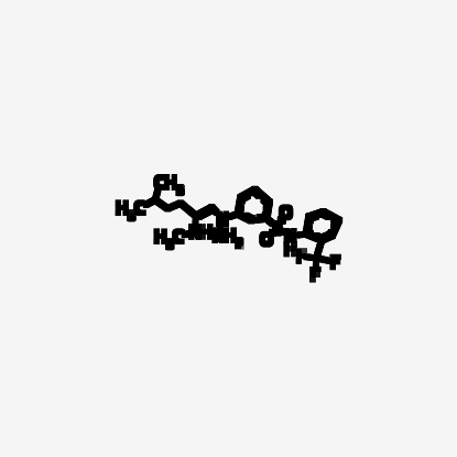 CN/C(=C\N(N)c1cccc(S(=O)(=O)Nc2ccccc2C(F)(F)F)c1)CCC(C)C